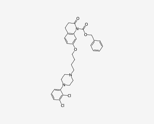 O=C1CCc2ccc(OCCCCN3CCN(c4cccc(Cl)c4Cl)CC3)cc2N1C(=O)OCc1ccccc1